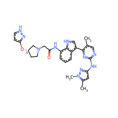 Cc1cnc(Nc2cc(C)n(C)n2)nc1-c1c[nH]c2c(NC(=O)CN3CC[C@H](Oc4cc[nH]n4)C3)cccc12